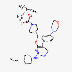 CC(C)(C)OC(=O)N1CCC(COc2nc(N[C@H]3CC[C@@H](C)CC3)ncc2-c2ccc(N3CCOCC3)cc2)CC1